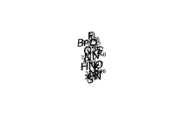 Cc1nc(C(=O)N2CC[C@H]2CNC(=O)c2c(C)nc3sccn23)c(-c2ccc(F)c(Br)c2)s1